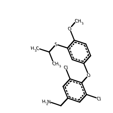 COc1ccc(Oc2c(Cl)cc(CN)cc2Cl)cc1SC(C)C